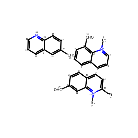 CC[n+]1cccc2cccc(C=O)c21.CCc1ccc2ccc(C=O)cc2[n+]1CC.O=Cc1ccc2ncccc2c1